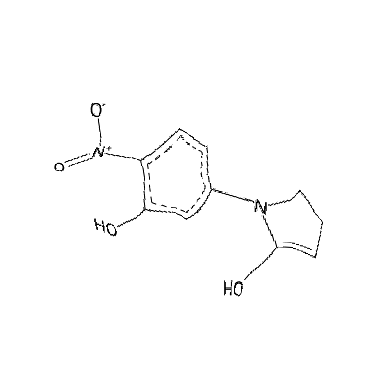 O=[N+]([O-])c1ccc(N2CCC=C2O)cc1O